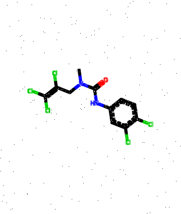 CN(CC(Cl)=C(Cl)Cl)C(=O)Nc1ccc(Cl)c(Cl)c1